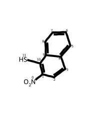 O=[N+]([O-])c1ccc2ccccc2c1S